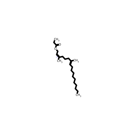 CCCCCCCCCCC=C(C)CCC/C(C)=C\COC(=O)CC